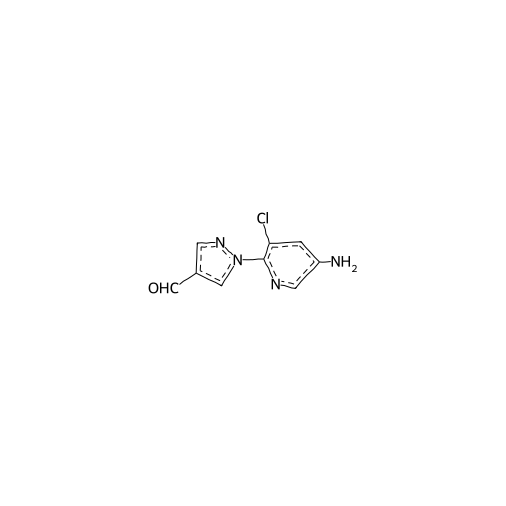 Nc1cnc(-n2cc(C=O)cn2)c(Cl)c1